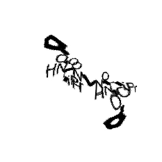 CC(C)C[C@H](NC(=O)OCc1ccccc1)C(=O)NCCCNC(=O)[C@H](CC(C)C)NC(=O)OCc1ccccc1